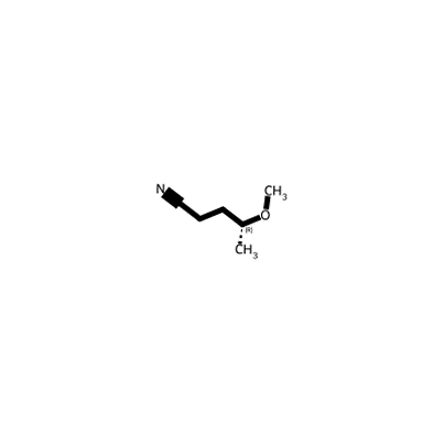 CO[C@H](C)CCC#N